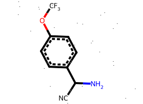 N#CC(N)c1ccc(OC(F)(F)F)cc1